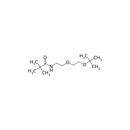 CC(C)(C)OCCOCCNC(=O)C(C)(C)C